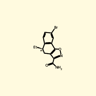 CC[C@@H]1Cc2c(C(N)=O)noc2-c2cc(Br)ccc21